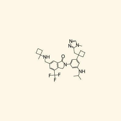 CC(C)Nc1cc(N2Cc3c(cc(CNC4(C)CCC4)cc3C(F)(F)F)C2=O)cc(C2(Cc3nncn3C)CCC2)c1